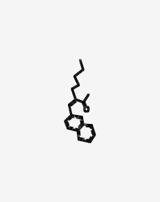 CCCCCC(=Cc1ccc2ccccc2c1)C(C)=O